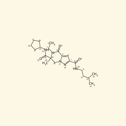 CCN1C(=O)c2cc(C(=O)NCCC(C)C)nn2CC1(C)C(=O)NC1CCCC1